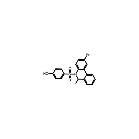 CCC1c2ccccc2-c2cc(Br)ccc2N1S(=O)(=O)c1ccc(O)cc1